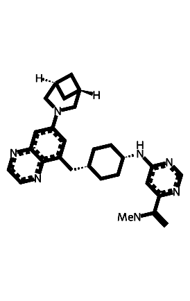 C=C(NC)c1cc(N[C@H]2CC[C@@H](Cc3cc(N4C[C@H]5C[C@H](C4)C5)cc4nccnc34)CC2)ncn1